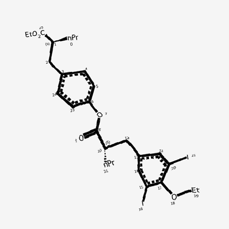 CCC[C@@H](Cc1ccc(OC(=O)[C@@H](CCC)Cc2cc(I)c(OCC)c(I)c2)cc1)C(=O)OCC